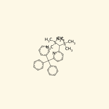 CS(C)(C)C(c1cccc(C(c2ccccc2)(c2ccccc2)c2ccccc2)n1)S(C)(C)C